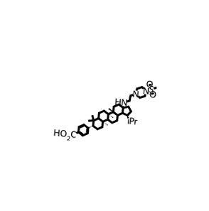 CC(C)[C@@H]1CC[C@]2(NCCN3CCN(S(C)(=O)=O)CC3)CC[C@]3(C)C(CCC4[C@@]5(C)CC[C@H](c6ccc(C(=O)O)cc6)C(C)(C)C5CC[C@]43C)C12